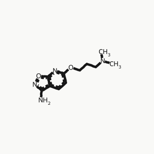 CN(C)CCCOc1ccc2c(N)noc2n1